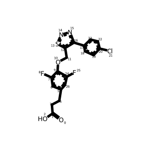 O=C(O)CCc1cc(F)c(OCc2snnc2-c2ccc(Cl)cc2)c(F)c1